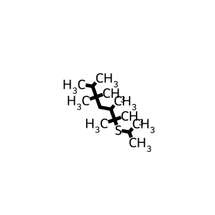 CC(C)SC(C)(C)C(C)CC(C)(C)C(C)C